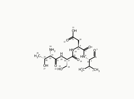 CC(C)[C@@H]([C]=O)NC(=O)[C@H](CC(=O)O)NC(=O)[C@H](CO)NC(=O)[C@@H](N)[C@@H](C)O